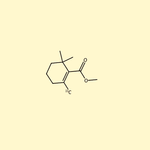 COC(=O)C1=C([11CH3])CCCC1(C)C